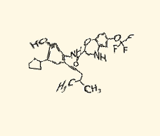 CC(C)CC#Cc1cc(C2CCCC2)c(O)cc1NC(=O)C1CNc2cc(OC(F)(F)F)ccc2O1